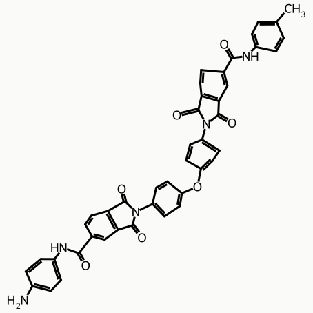 Cc1ccc(NC(=O)c2ccc3c(c2)C(=O)N(c2ccc(Oc4ccc(N5C(=O)c6ccc(C(=O)Nc7ccc(N)cc7)cc6C5=O)cc4)cc2)C3=O)cc1